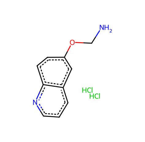 Cl.Cl.NCOc1ccc2ncccc2c1